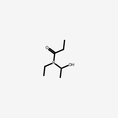 CCC(=O)N(CC)C(C)O